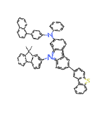 CC1(C)c2ccccc2-c2ccc(-n3c4ccc(-c5ccc6sc7ccccc7c6c5)cc4c4ccc(N(c5ccccc5)c5ccc(-c6cccc7ccccc67)cc5)cc43)cc21